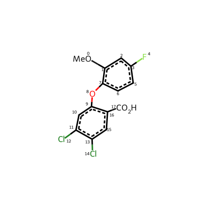 COc1cc(F)ccc1Oc1cc(Cl)c(Cl)cc1C(=O)O